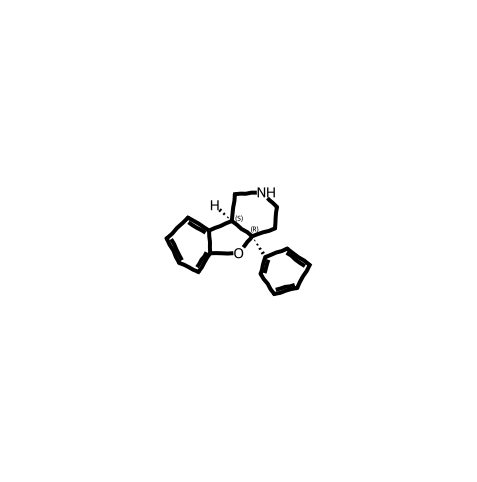 c1ccc([C@@]23CCNC[C@@H]2c2ccccc2O3)cc1